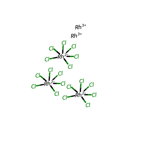 [Cl][Rh-2]([Cl])([Cl])([Cl])([Cl])[Cl].[Cl][Rh-2]([Cl])([Cl])([Cl])([Cl])[Cl].[Cl][Rh-2]([Cl])([Cl])([Cl])([Cl])[Cl].[Rh+3].[Rh+3]